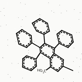 Cc1cc(C(=O)O)c2c(-c3ccccc3)c(-c3ccccc3)c(-c3ccccc3)c(-c3ccccc3)c2c1